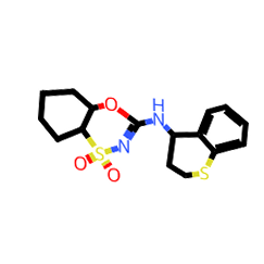 O=S1(=O)N=C(NC2CCSc3ccccc32)OC2CCCCC21